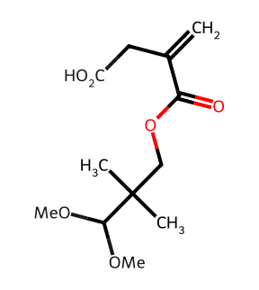 C=C(CC(=O)O)C(=O)OCC(C)(C)C(OC)OC